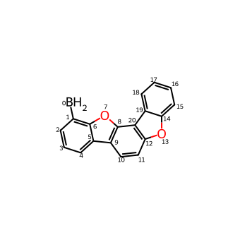 Bc1cccc2c1oc1c2ccc2oc3ccccc3c21